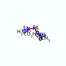 CCN(CC=CCN(CC)C(=O)NCC(C)C(=O)O)C(=O)Cc1ccc(NC(=O)Nc2ccccc2C)c(OC)c1